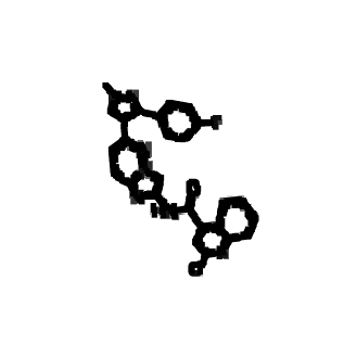 Cn1cc(-c2ccc3nc(NC(=O)c4cc(Cl)nc5ccccc45)cn3n2)c(-c2ccc(F)cc2)n1